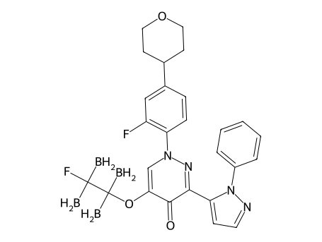 BC(B)(F)C(B)(B)Oc1cn(-c2ccc(C3CCOCC3)cc2F)nc(-c2ccnn2-c2ccccc2)c1=O